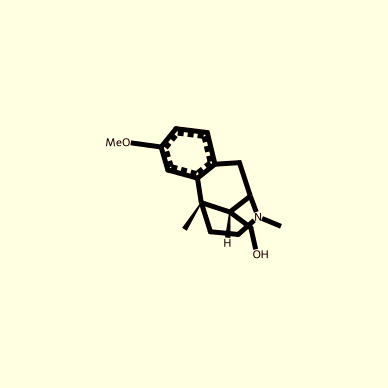 COc1ccc2c(c1)[C@@]1(C)CCN(C)C(C2)[C@@H]1CO